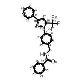 O=C(NCc1ccc(-n2nc(-c3cccnc3)cc2C(F)(F)F)cc1)c1ccccc1